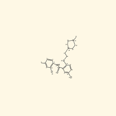 Cc1ccc(NC(=O)c2cc(Cl)ccc2OCCN2CCN(C)CC2)c(Cl)c1